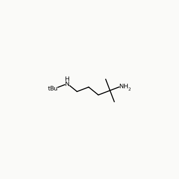 CC(C)(N)CCCNC(C)(C)C